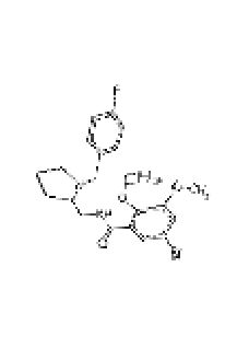 COc1cc(Br)cc(C(=O)NCC2CCCN2Cc2ccc(F)cc2)c1OC